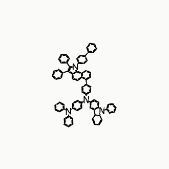 C1=CC2c3cc(N(c4ccc(-c5cccc6c5ccc5c(-c7ccccc7)c(-c7ccccc7)n(-c7ccc(-c8ccccc8)cc7)c56)cc4)c4ccc(N(c5ccccc5)c5ccccc5)cc4)ccc3N(c3ccccc3)C2C=C1